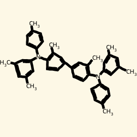 Cc1ccc(N(c2cc(C)cc(C)c2)c2ccc(-c3ccc(N(c4ccc(C)cc4)c4cc(C)cc(C)c4)c(C)c3)cc2C)cc1